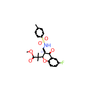 COC(=O)C(C)(C)C1Oc2ccc(F)cc2C(=O)/C1=C\NS(=O)(=O)c1ccc(C)cc1